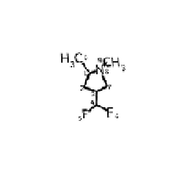 C[C@@H]1CC(C(F)F)CN1C